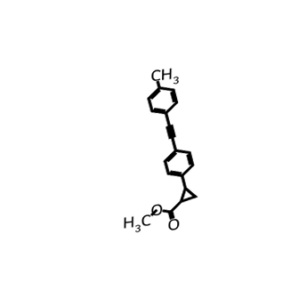 COC(=O)C1CC1c1ccc(C#Cc2ccc(C)cc2)cc1